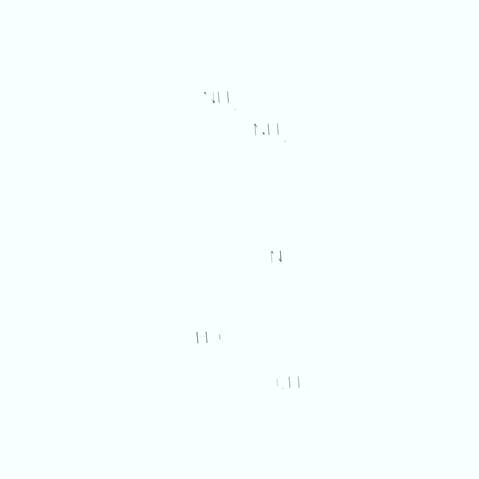 C[C](C)CN1CCC(N)(CN)CC1